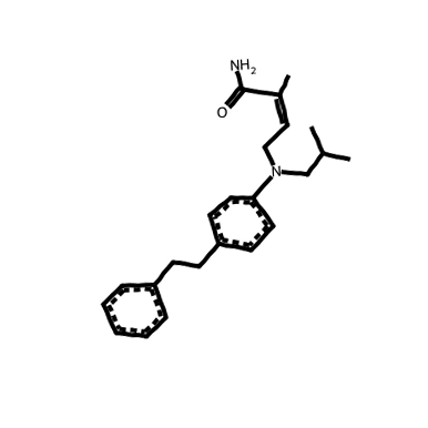 C[C](C)CN(CC=C(C)C(N)=O)c1ccc(CCc2ccccc2)cc1